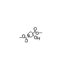 CCOC(=O)C1=C(O)CN(C(=O)OCC)CC1